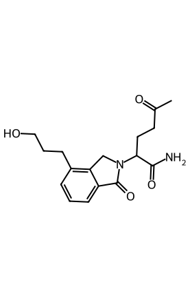 CC(=O)CCC(C(N)=O)N1Cc2c(CCCO)cccc2C1=O